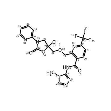 Cn1nnnc1NC(=O)c1ccc(C(F)(F)F)nc1COCC1(C)CN(c2ccccn2)C(=O)O1